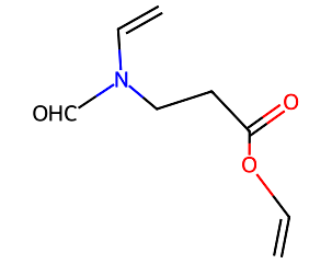 C=COC(=O)CCN(C=C)C=O